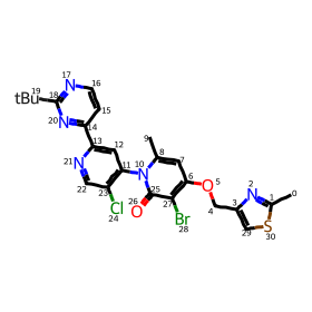 Cc1nc(COc2cc(C)n(-c3cc(-c4ccnc(C(C)(C)C)n4)ncc3Cl)c(=O)c2Br)cs1